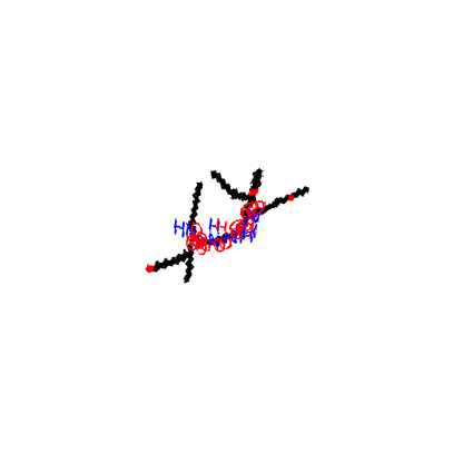 CCCCCCCCCCCCCC(=O)N[C@H](COCCC(CCCCCCC)CCCCCCCCCCCC)COP(=O)(O)OCCNC(=O)CC(=O)CNCOP(=O)(O)OC[C@@H](COCCC(CCCCCCC)CCCCCCCCCCCC)NC(=O)CCCCCCCCCCCCC